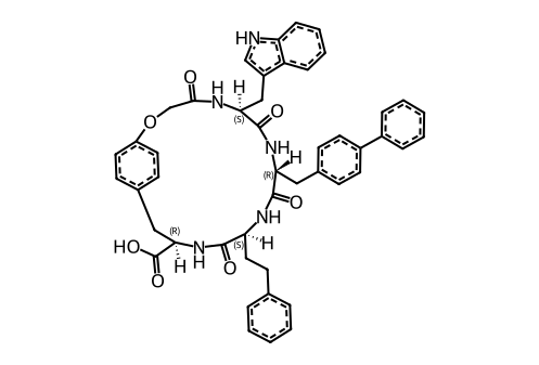 O=C1COc2ccc(cc2)C[C@H](C(=O)O)NC(=O)[C@H](CCc2ccccc2)NC(=O)[C@@H](Cc2ccc(-c3ccccc3)cc2)NC(=O)[C@H](Cc2c[nH]c3ccccc23)N1